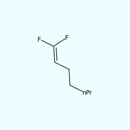 CCCCCC=C(F)F